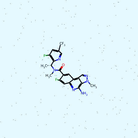 C[C@H](c1ncc(C(F)(F)F)cc1F)N(C)C(=O)c1cc2c(cc1F)nc(N)c1c2cnn1C